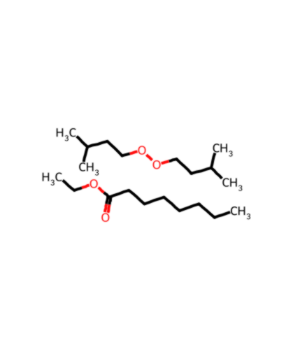 CC(C)CCOOCCC(C)C.CCCCCCCC(=O)OCC